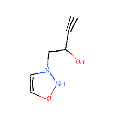 C#CC(O)CN1C=CON1